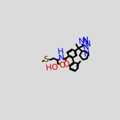 CSCCC(NC(=O)c1ccc(C(C)(c2nnn[nH]2)C2CCCCC2)cc1-c1ccccc1C)C(=O)O